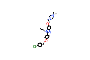 CCCCn1c(-c2ccc(OCCc3ccc(Cl)cc3)cc2)nc2ccc(OCCN3CCN(C(C)C)CC3)cc21